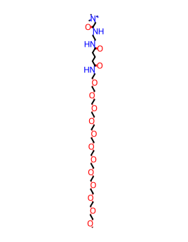 COCCOCCOCCOCCOCCOCCOCCOCCOCCOCCOCCOCCNC(=O)CCCC(=O)NCCNC(=O)C[N+](C)(C)C